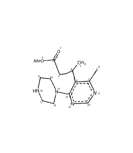 COC(=O)CC(C)c1c(I)ncnc1N1CCNCC1